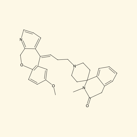 COc1ccc2c(c1)C(=CCCN1CCC3(CC1)c1ccccc1CC(=O)N3C)c1cccnc1CO2